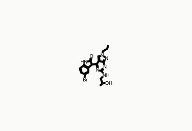 CCCn1cc2c(C3C(=O)Nc4ccc(Br)cc43)nc(NCC(C)O)nc2n1